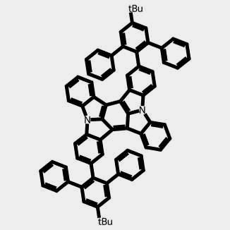 CC(C)(C)c1cc(-c2ccccc2)c(-c2ccc3c(c2)c2c4c5ccccc5n5c6ccc(-c7c(-c8ccccc8)cc(C(C)(C)C)cc7-c7ccccc7)cc6c(c6c7ccccc7n3c62)c45)c(-c2ccccc2)c1